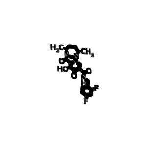 C[C@@H]1C=C[C@H](C)N2CN1n1cc(C(=O)NCc3ccc(F)cc3F)c(=O)c(O)c1C2=O